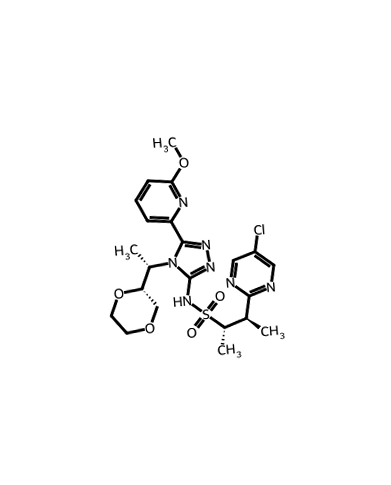 COc1cccc(-c2nnc(NS(=O)(=O)[C@@H](C)[C@H](C)c3ncc(Cl)cn3)n2[C@@H](C)[C@@H]2COCCO2)n1